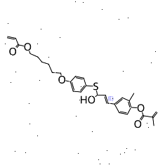 C=CC(=O)OCCCCCCOc1ccc(SC(O)/C=C/c2ccc(OC(=O)C(=C)C)c(C)c2)cc1